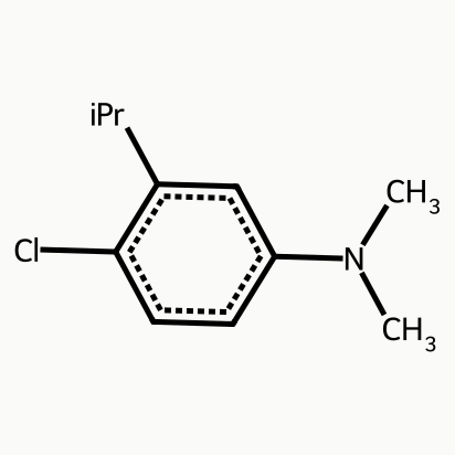 CC(C)c1cc(N(C)C)ccc1Cl